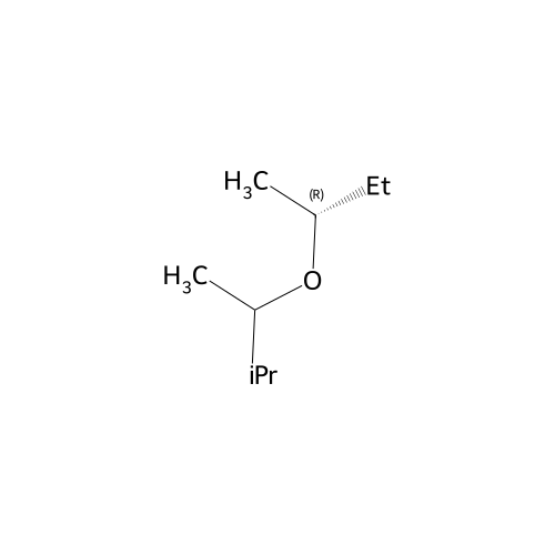 CC[C@@H](C)OC(C)C(C)C